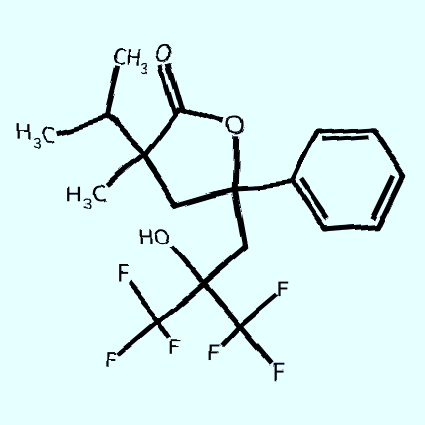 CC(C)C1(C)CC(CC(O)(C(F)(F)F)C(F)(F)F)(c2ccccc2)OC1=O